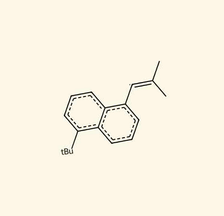 CC(C)=[C]c1cccc2c(C(C)(C)C)cccc12